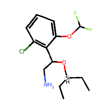 CC[SiH](CC)OC(CN)c1c(Cl)cccc1OC(F)F